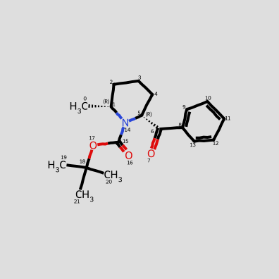 C[C@@H]1CCC[C@H](C(=O)c2ccccc2)N1C(=O)OC(C)(C)C